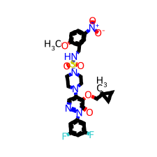 COc1ccc([N+](=O)[O-])cc1CNS(=O)(=O)N1CCN(c2cnn(-c3cc(F)cc(F)c3)c(=O)c2OCC2(C)CC2)CC1